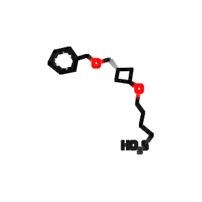 O=S(=O)(O)CCCCO[C@H]1C[C@H](COCc2ccccc2)C1